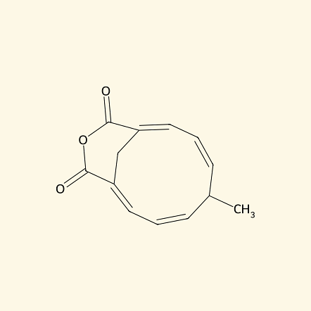 CC1/C=C\C=C2/C/C(=C\C=C/1)C(=O)OC2=O